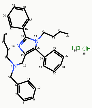 CCCCN(Cc1ccccc1)Cc1nc(-c2ccccc2)n(CCCC)c1-c1ccccc1.Cl.Cl